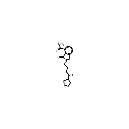 NC(=O)c1cccc2c1C(=O)N(CCCNC1CCCC1)C2